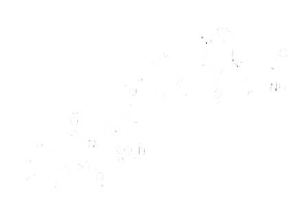 O=C(NC1CNC1=O)C(=NO)c1ccc(OCCC(C(=O)O)N2C(=O)c3ccccc3C2=O)cc1